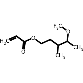 C=CC(=O)OCCC(C)C(C)OC(F)(F)F